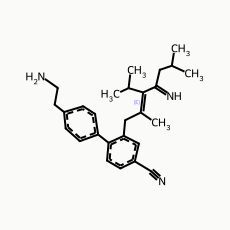 C/C(Cc1cc(C#N)ccc1-c1ccc(CCN)cc1)=C(\C(=N)CC(C)C)C(C)C